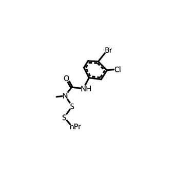 CCCSSN(C)C(=O)Nc1ccc(Br)c(Cl)c1